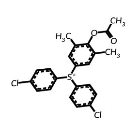 CC(=O)Oc1c(C)cc([S+](c2ccc(Cl)cc2)c2ccc(Cl)cc2)cc1C